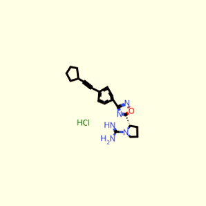 Cl.N=C(N)N1CCC[C@H]1c1nc(-c2ccc(C#CC3CCCC3)cc2)no1